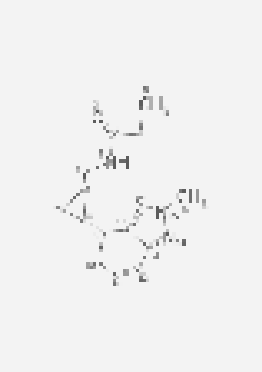 CCC(=O)NC[C@@H]1C[C@H]1C1CC=Cc2nn(C)cc21